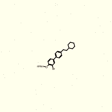 CCCCCCOc1ccc(-c2ccc(CCC3CC[CH]CC3)cc2)cc1Br